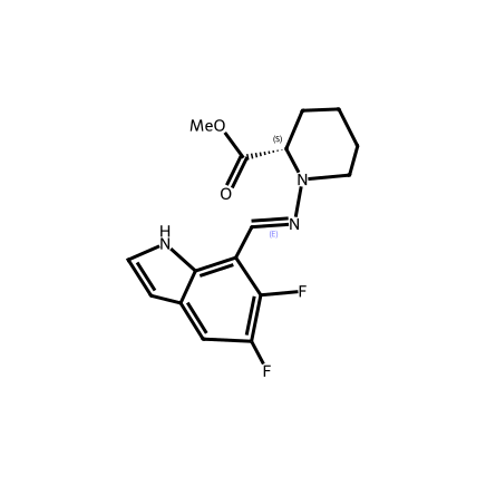 COC(=O)[C@@H]1CCCCN1/N=C/c1c(F)c(F)cc2cc[nH]c12